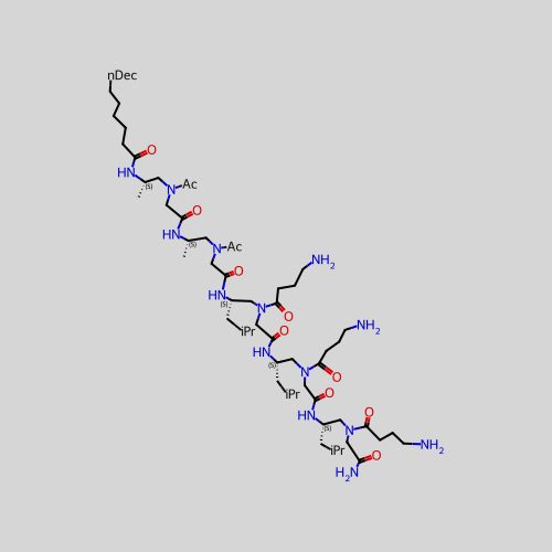 CCCCCCCCCCCCCCCC(=O)N[C@@H](C)CN(CC(=O)N[C@@H](C)CN(CC(=O)N[C@@H](CC(C)C)CN(CC(=O)N[C@@H](CC(C)C)CN(CC(=O)N[C@@H](CC(C)C)CN(CC(N)=O)C(=O)CCCN)C(=O)CCCN)C(=O)CCCN)C(C)=O)C(C)=O